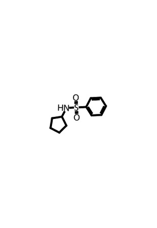 O=S(=O)(NC1CCCC1)c1ccccc1